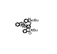 CCCCc1nc2ccc(N(Cc3ccccc3)S(=O)(=O)CCCC)cc2n1Cc1ccc(-c2ccccc2C(=O)OC(C)(C)C)cc1